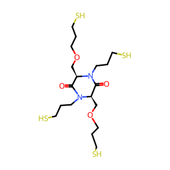 O=C1[C@@H](COCCCS)N(CCCS)C(=O)[C@@H](COCCCS)N1CCCS